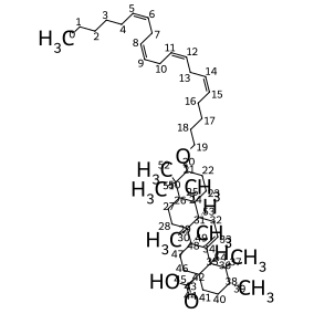 CCCCC/C=C\C/C=C\C/C=C\C/C=C\CCCCO[C@H]1CC[C@@]2(C)C(CC[C@]3(C)[C@@H]2CC=C2[C@@H]4[C@@H](C)[C@H](C)CC[C@]4(C(=O)O)CC[C@]23C)C1(C)C